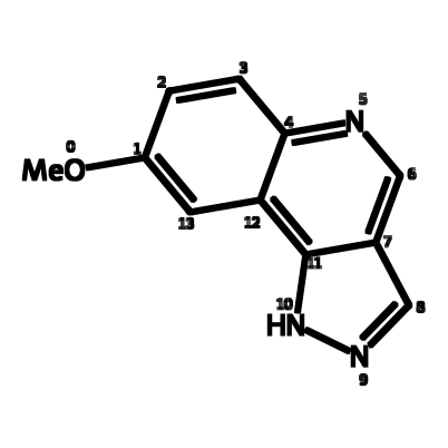 COc1ccc2ncc3cn[nH]c3c2c1